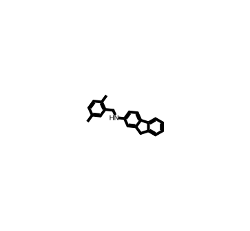 Cc1ccc(C)c(CNc2ccc3c(c2)Cc2ccccc2-3)c1